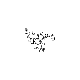 COc1ccc2c(c1)CCN(c1ccc(F)cc1)C2c1ccc(OCC=O)cc1